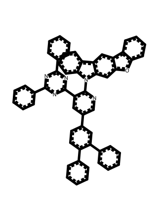 c1ccc(-c2nc(-c3ccccc3)nc(-c3cc(-c4ccc(-c5ccccc5)c(-c5ccccc5)c4)cnc3-n3c4ccccc4c4cc5c(cc43)oc3ccccc35)n2)cc1